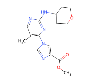 COC(=O)c1cn(-c2nc(NC3CCOCC3)ncc2C)cn1